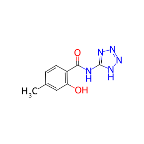 Cc1ccc(C(=O)Nc2nnn[nH]2)c(O)c1